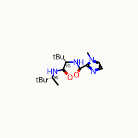 C[C@@H](NC(=O)[C@@H](NC(=O)c1nccn1C)C(C)(C)C)C(C)(C)C